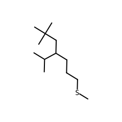 CSCCCC(CC(C)(C)C)C(C)C